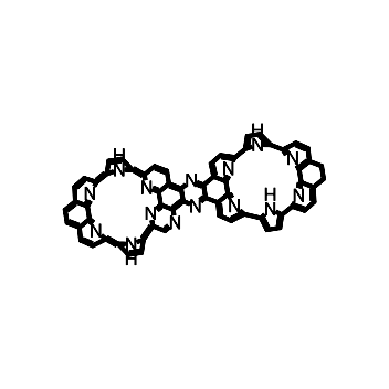 c1cc2nc3c1CCc1ccc(nc13)c1ccc([nH]1)c1ccc3c(n1)c1nc(ccc1c1nc4c5ccc6nc5c5nc(cnc5c4nc31)c1ccc([nH]1)c1ccc3ccc4ccc(nc4c3n1)c1ccc6[nH]1)c1ccc2[nH]1